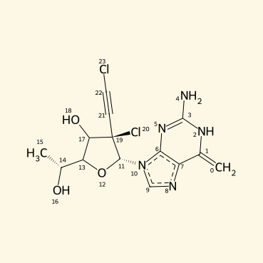 C=C1NC(N)=Nc2c1ncn2[C@@H]1OC([C@@H](C)O)C(O)[C@]1(Cl)C#CCl